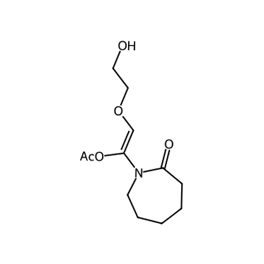 CC(=O)OC(=COCCO)N1CCCCCC1=O